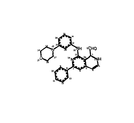 O=CC1NC=Cc2cc(-c3ccccc3)nc(Nc3cccc(N4CCOCC4)c3)c21